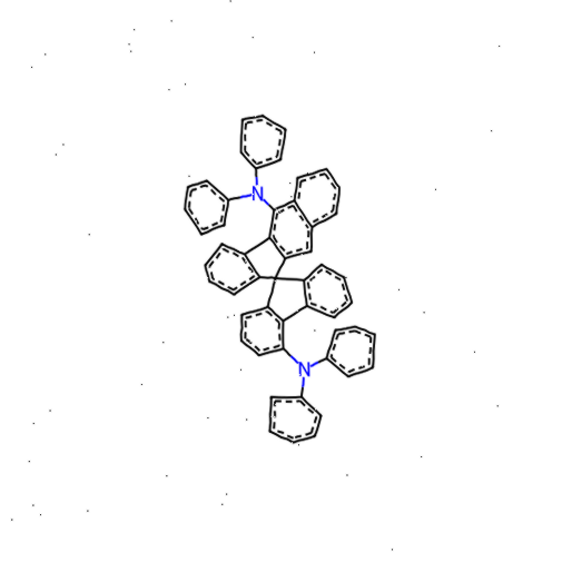 c1ccc(N(c2ccccc2)c2cccc3c2-c2ccccc2C32c3ccccc3-c3c2cc2ccccc2c3N(c2ccccc2)c2ccccc2)cc1